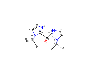 C=C(C)n1ccnc1C(=O)c1nccn1C(=C)C